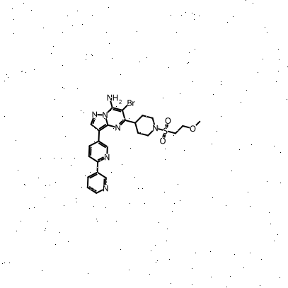 COCCS(=O)(=O)N1CCC(c2nc3c(-c4ccc(-c5cccnc5)nc4)cnn3c(N)c2Br)CC1